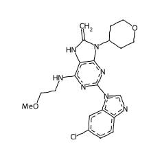 C=C1Nc2c(NCCOC)nc(-n3cnc4ccc(Cl)cc43)nc2N1C1CCOCC1